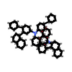 c1ccc(-c2ccc(N(c3ccc(-c4ccccc4)c(-c4cccc5ccccc45)c3)c3ccccc3-c3ccccc3-n3c4ccccc4c4c5ccccc5ccc43)c(-c3ccccc3)c2)cc1